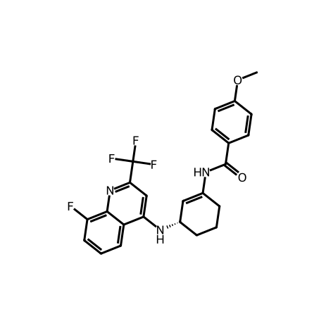 COc1ccc(C(=O)NC2=C[C@@H](Nc3cc(C(F)(F)F)nc4c(F)cccc34)CCC2)cc1